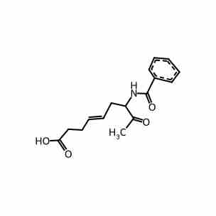 CC(=O)C(C/C=C/CCC(=O)O)NC(=O)c1ccccc1